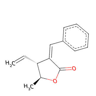 C=C[C@@H]1/C(=C/c2ccccc2)C(=O)O[C@H]1C